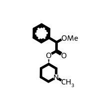 COC(C(=O)O[C@H]1CCCN(C)C1)c1ccccc1